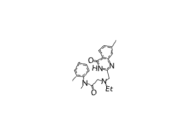 CCN(CC(=O)N(C)c1ccccc1C)Cc1nc2cc(C)ccc2c(=O)[nH]1